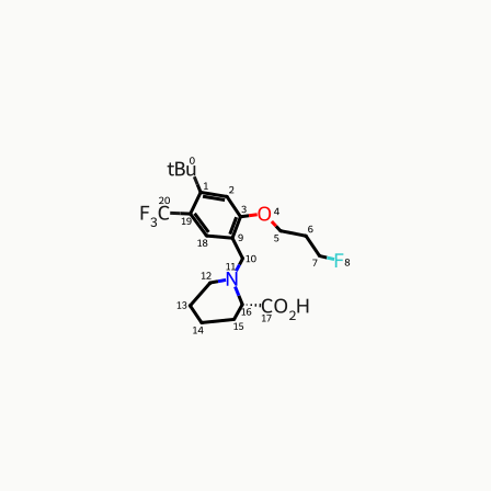 CC(C)(C)c1cc(OCCCF)c(CN2CCCC[C@H]2C(=O)O)cc1C(F)(F)F